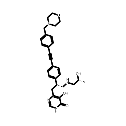 C[C@@H](O)CNC[C@H](Cc1nc[nH]c(=O)c1O)c1ccc(C#Cc2ccc(CN3CCOCC3)cc2)cc1